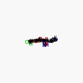 Cc1ncoc1C(=O)N1Cc2cc3c(cc2C[C@H]1C(=O)NCCc1ccc(-c2ccnc(C)c2C)cc1)OC[C@H](c1ccc(OCc2ccc(Cl)c(Cl)c2)cc1)O3